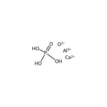 O=P(O)(O)O.[Al+3].[Ca+2].[O-2]